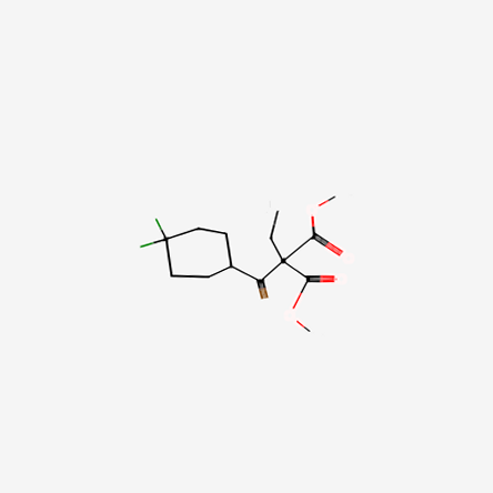 CCOC(=O)CC(C(=O)OC(C)(C)C)(C(=O)OC(C)(C)C)C(=S)C1CCC(F)(F)CC1